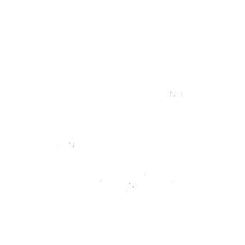 CC(C)c1c(N)cc(C(N)=O)c(C(N)=O)c1C(C)C